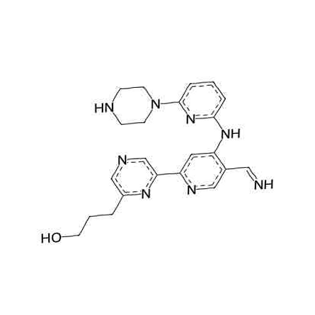 N=Cc1cnc(-c2cncc(CCCO)n2)cc1Nc1cccc(N2CCNCC2)n1